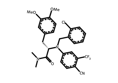 COc1ccc(C[C@@H](C(=O)N(C)C)N(Cc2ccccc2Cl)c2ccc(C#N)c(C(F)(F)F)c2)cc1OC